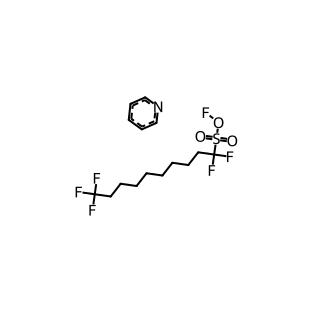 O=S(=O)(OF)C(F)(F)CCCCCCCCC(F)(F)F.c1ccncc1